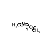 CC(=O)c1ccc(-c2ccc(CN3CCCN(C)CC3)cc2C#N)cc1